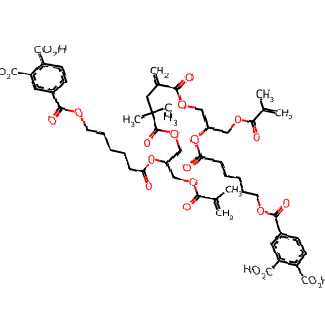 C=C(C)C(=O)OCC(COC(=O)C(=C)CC(C)(C)C(=O)OCC(COC(=O)C(=C)C)OC(=O)CCCCCOC(=O)c1ccc(C(=O)O)c(C(=O)O)c1)OC(=O)CCCCCOC(=O)c1ccc(C(=O)O)c(C(=O)O)c1